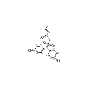 C/C=C/C(=O)CS(=O)(=O)C(c1ccc(Cl)cc1)c1ccc(Cl)cc1